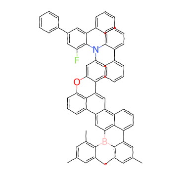 Cc1cc(C)c(B2c3c(C)cc(C)cc3-c3cccc4c3c2cc2c3cccc5c3c(cc42)-c2ccc(N(c3ccccc3-c3ccccc3)c3c(F)cc(-c4ccccc4)cc3-c3ccccc3)cc2O5)c(C)c1